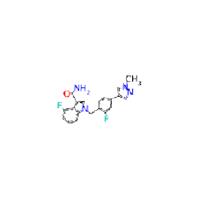 Cn1cc(-c2ccc(Cn3cc(C(N)=O)c4c(F)cccc43)c(F)c2)cn1